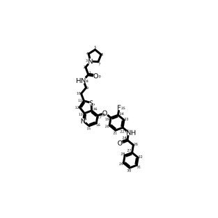 O=C(CN1CCCC1)NCCc1cc2nccc(Oc3ccc(NC(=O)Cc4ccccc4)cc3F)c2s1